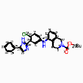 CC(C)(C)OC(=O)N1CCc2c(cccc2Nc2ccc(Cl)c(-c3ncc(-c4ccccc4)[nH]3)c2)C1